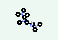 c1ccc(N(c2ccccc2)c2cc3c(c4ccccc24)c2cc(-c4ncc5c(n4)c4ccccc4n5-c4ccccc4)ccc2n3-c2ccccc2)cc1